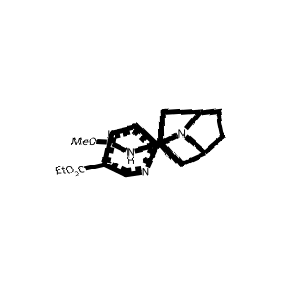 CCOC(=O)c1ccc(N2C3CCC2CC(NBOC)C3)nc1